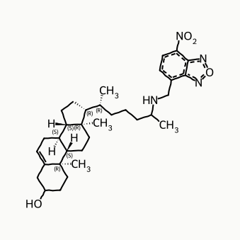 CC(CCC[C@@H](C)[C@H]1CC[C@H]2[C@@H]3CC=C4CC(O)CC[C@]4(C)[C@H]3CC[C@]12C)NCc1ccc([N+](=O)[O-])c2nonc12